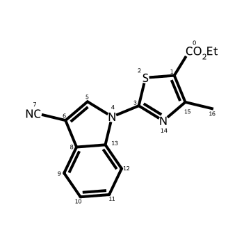 CCOC(=O)c1sc(-n2cc(C#N)c3ccccc32)nc1C